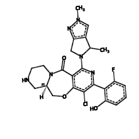 CC1c2cn(C)nc2CN1c1nc(-c2c(O)cccc2F)c(Cl)c2c1C(=O)N1CCNC[C@@H]1CO2